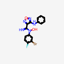 N=C(c1nonc1Nc1ccccc1)N(O)c1ccc(F)c(Br)c1